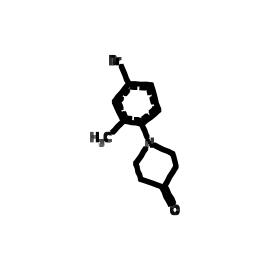 Cc1cc(Br)ccc1N1CCC(=O)CC1